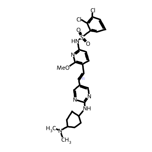 COc1nc(NS(=O)(=O)c2cccc(Cl)c2Cl)ccc1/C=C/c1cnc(NC2CCC(N(C)C)CC2)nc1